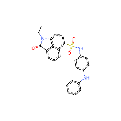 CCN1C(=O)c2cccc3c(S(=O)(=O)Nc4ccc(Nc5ccccc5)cc4)ccc1c23